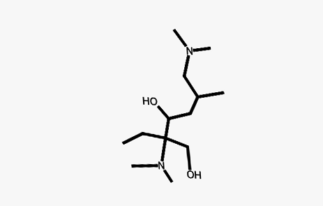 CCC(CO)(C(O)CC(C)CN(C)C)N(C)C